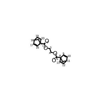 O=C(OCCOC(=O)C12C=CC(CC1)C2)C12C=CC(CC1)C2